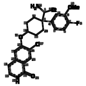 CCC(N)C1(c2ccc(F)c(OC)c2)CCC(Oc2cc3cc[nH]c(=O)c3cc2Cl)CC1